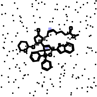 COC(=O)CCC/C=C\C[C@H]1C(=O)C[C@@H](OC2CCCCO2)[C@@H]1/C=C/[C@@H](O[Si](c1ccccc1)(c1ccccc1)C(C)(C)C)c1cc2ccccc2s1